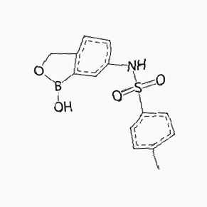 Cc1ccc(S(=O)(=O)Nc2ccc3c(c2)B(O)OC3)cc1